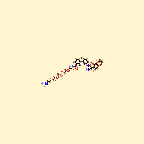 Cc1ccc(NC(=O)C2(c3ccc4c(c3)OC(F)(F)O4)CC2)nc1-c1cccc(C(=O)NCCOCCOCCOCCOCCN)c1